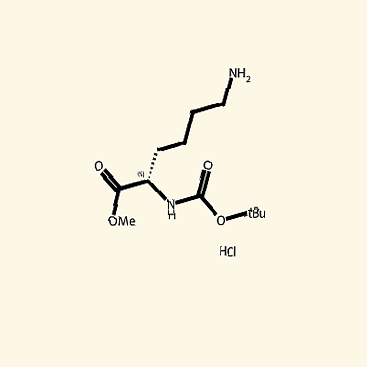 COC(=O)[C@H](CCCCN)NC(=O)OC(C)(C)C.Cl